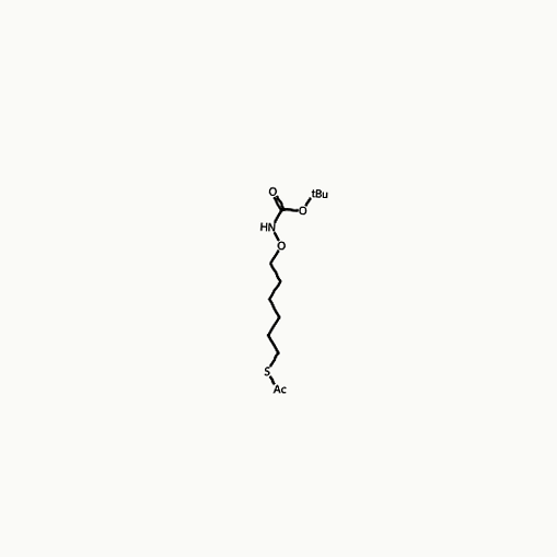 CC(=O)SCCCCCCONC(=O)OC(C)(C)C